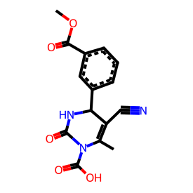 COC(=O)c1cccc(C2NC(=O)N(C(=O)O)C(C)=C2C#N)c1